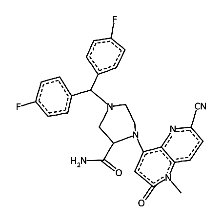 Cn1c(=O)cc(N2CCN(C(c3ccc(F)cc3)c3ccc(F)cc3)CC2C(N)=O)c2nc(C#N)ccc21